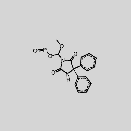 COC(OP=O)N1C(=O)NC(c2ccccc2)(c2ccccc2)C1=O